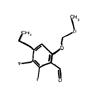 CCc1cc(OCOC)c(C=O)c(F)c1F